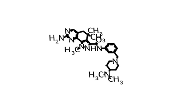 CN(C)C1CCN(Cc2cccc(NC(=O)c3nn(C)c4c3C(C)(C)Cc3cnc(N)nc3-4)c2)CC1